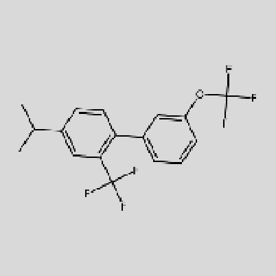 CC(C)c1ccc(-c2cccc(OC(F)(F)F)c2)c(C(F)(F)F)c1